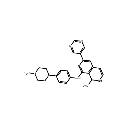 CN1CCN(c2ccc(Nc3nc(-c4cncnc4)cc4c3C(C=O)NC=C4)cc2)CC1